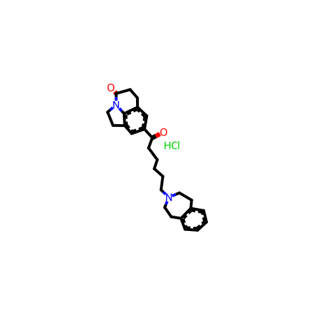 Cl.O=C(CCCCCN1CCc2ccccc2CC1)c1cc2c3c(c1)CCN3C(=O)CC2